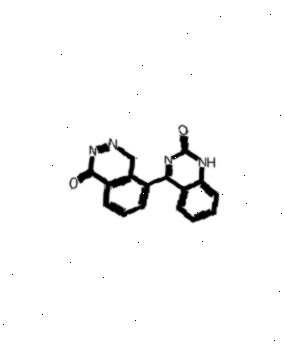 O=C1N=N[CH]c2c1cccc2-c1nc(=O)[nH]c2ccccc12